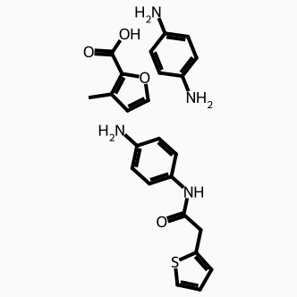 Cc1ccoc1C(=O)O.Nc1ccc(N)cc1.Nc1ccc(NC(=O)Cc2cccs2)cc1